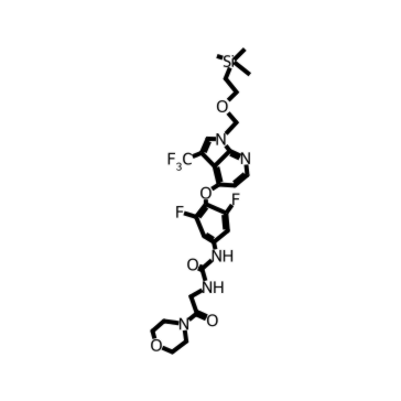 C[Si](C)(C)CCOCn1cc(C(F)(F)F)c2c(Oc3c(F)cc(NC(=O)NCC(=O)N4CCOCC4)cc3F)ccnc21